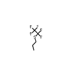 CC[CH]SC(F)(F)C(F)(F)F